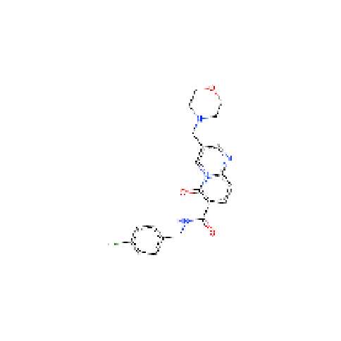 O=C(NCc1ccc(Cl)cc1)c1ccc2ncc(CN3CCOCC3)cn2c1=O